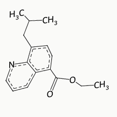 CCOC(=O)c1ccc(CC(C)C)c2ncccc12